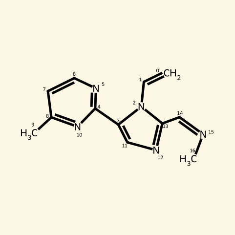 C=Cn1c(-c2nccc(C)n2)cnc1/C=N\C